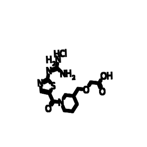 Cl.NC(N)=Nc1ncc(C(=O)N2CCCC(COCC(=O)O)C2)s1